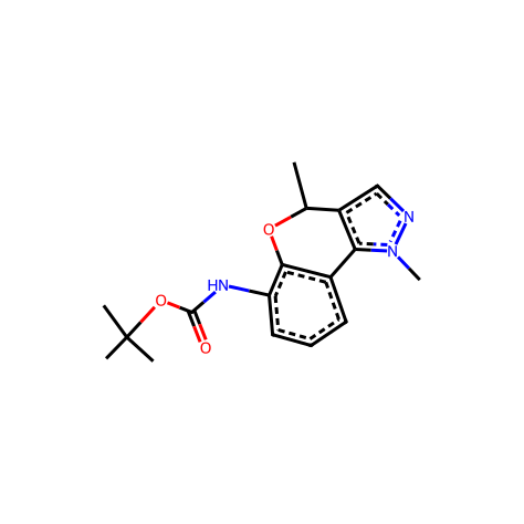 CC1Oc2c(NC(=O)OC(C)(C)C)cccc2-c2c1cnn2C